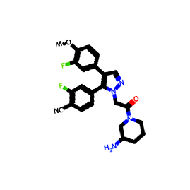 COc1ccc(-c2cnn(CC(=O)N3CCCC(N)C3)c2-c2ccc(C#N)c(F)c2)cc1F